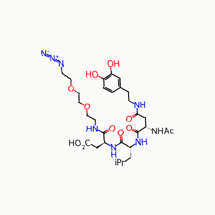 CC(=O)N[C@@H](CC(=O)NCCc1ccc(O)c(O)c1)C(=O)N[C@H](CC(C)C)C(=O)N[C@@H](CC(=O)O)C(=O)NCCOCCOCCN=[N+]=[N-]